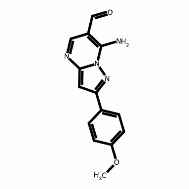 COc1ccc(-c2cc3ncc(C=O)c(N)n3n2)cc1